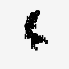 Nc1nc(N)c(NC(=O)Nc2ccc(C(=O)NC(CCC(=O)NS(=O)(=O)c3ccccc3)C(=O)O)nc2)c(=O)[nH]1